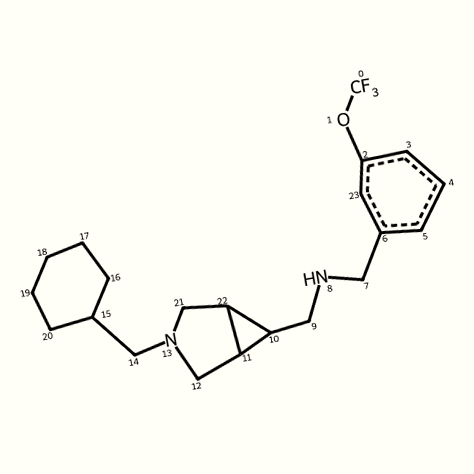 FC(F)(F)Oc1cccc(CNCC2C3CN(CC4CCCCC4)CC23)c1